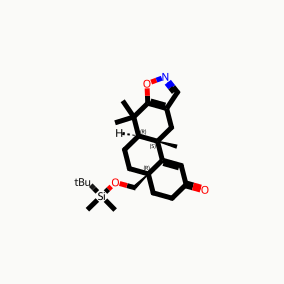 CC1(C)c2oncc2C[C@]2(C)C3=CC(=O)CC[C@]3(CO[Si](C)(C)C(C)(C)C)CC[C@@H]12